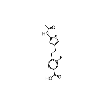 CC(=O)Nc1nc(CCc2ccc(C(=O)O)cc2F)cs1